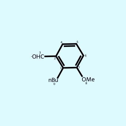 CCCCc1c([C]=O)cccc1OC